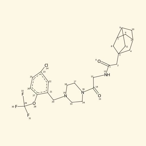 O=C(CC12CC3CC(C1)C(C3)C2)NCC(=O)N1CCN(Cc2cc(Cl)ccc2OC(F)(F)F)CC1